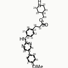 COc1ccc(-c2cnc(Nc3ccc(CCC(=O)OCC4CCNCC4)cc3)nc2)cc1